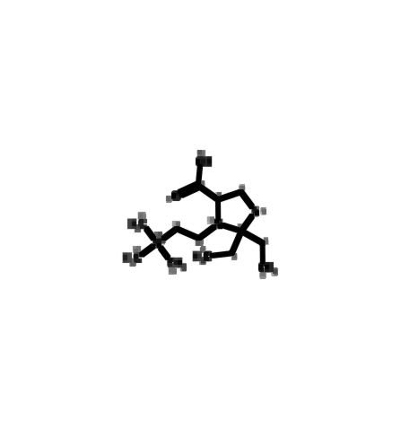 CCC1(CC)SCC(C(=O)O)N1CC[N+](C)(C)C